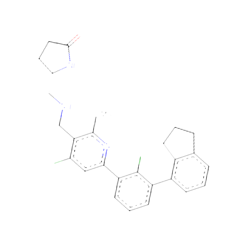 COc1nc(-c2cccc(-c3cccc4c3CCC4)c2Cl)cc(F)c1CNC[C@@H]1CCC(=O)N1